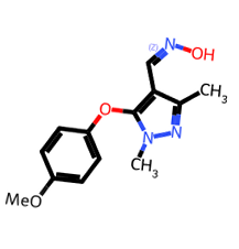 COc1ccc(Oc2c(/C=N\O)c(C)nn2C)cc1